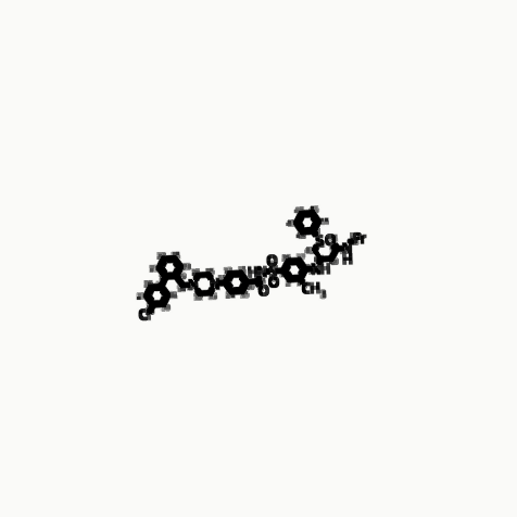 Cc1cc(S(=O)(=O)NC(=O)c2ccc(N3CCN(Cc4ccccc4-c4ccc(Cl)cc4)CC3)cc2)ccc1N[C@@H](CSc1ccccc1)CC(=O)NC(C)C